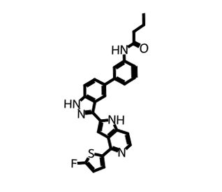 CCCC(=O)Nc1c#ccc(-c2ccc3[nH]nc(-c4cc5c(-c6ccc(F)s6)nccc5[nH]4)c3c2)c1